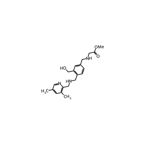 COC(=O)CNCc1ccc(CNCc2ncc(C)cc2C)c(CO)c1